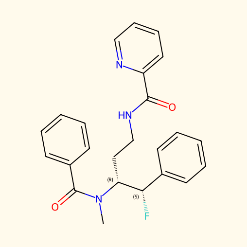 CN(C(=O)c1ccccc1)[C@H](CCNC(=O)c1ccccn1)[C@@H](F)c1ccccc1